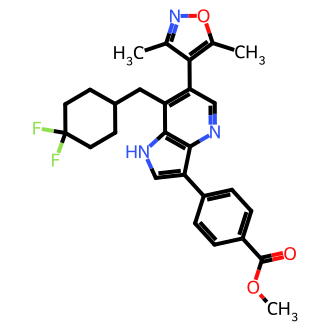 COC(=O)c1ccc(-c2c[nH]c3c(CC4CCC(F)(F)CC4)c(-c4c(C)noc4C)cnc23)cc1